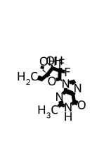 C=C[C@]1(CO)O[C@@H](n2cnc3c(=O)[nH]c(C)nc32)C(F)(F)[C@@H]1O